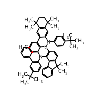 Cc1cc2c3c(c1)N(c1ccc(C(C)(C)C)cc1-c1ccccc1)c1c(ccc4c1-c1ccccc1C4(C)C)B3N(c1ccc(C(C)(C)C)cc1)c1cc3c(cc1-2)C(C)(C)CCC3(C)C